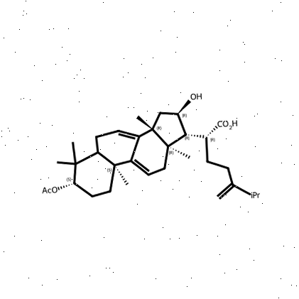 C=C(CC[C@@H](C(=O)O)[C@H]1[C@H](O)C[C@@]2(C)C3=CCC4C(C)(C)[C@@H](OC(C)=O)CC[C@]4(C)C3=CC[C@]12C)C(C)C